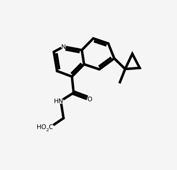 CC1(c2ccc3nccc(C(=O)NCC(=O)O)c3c2)CC1